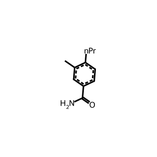 CCCc1ccc(C(N)=O)cc1C